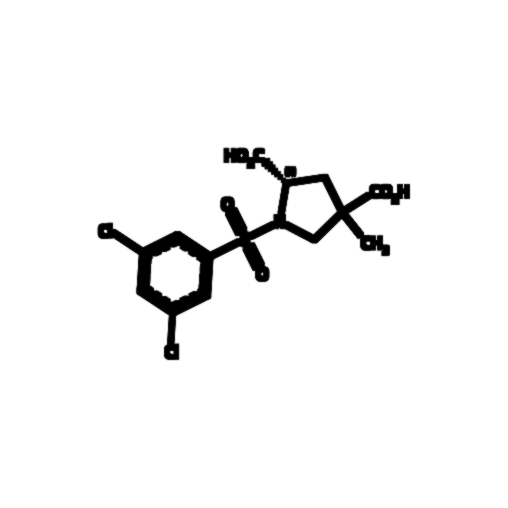 CC1(C(=O)O)C[C@@H](C(=O)O)N(S(=O)(=O)c2cc(Cl)cc(Cl)c2)C1